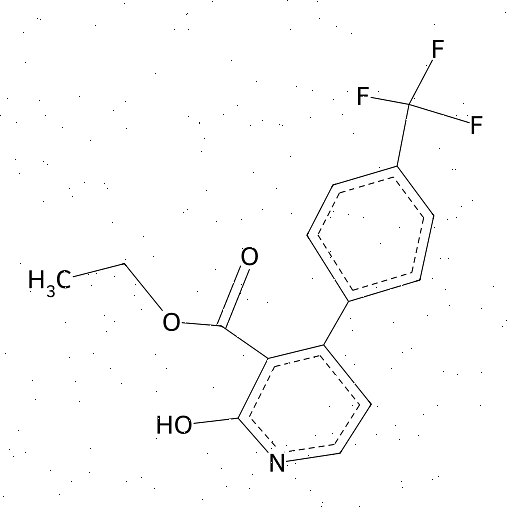 CCOC(=O)c1c(-c2ccc(C(F)(F)F)cc2)ccnc1O